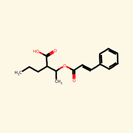 CCCC(C(=O)O)C(C)OC(=O)C=Cc1ccccc1